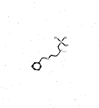 CC(C)[Si](C[C@H](C)CCOCc1ccccc1)(C(C)C)C(C)C